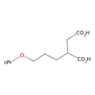 CCCOCCCC(CC(=O)O)C(=O)O